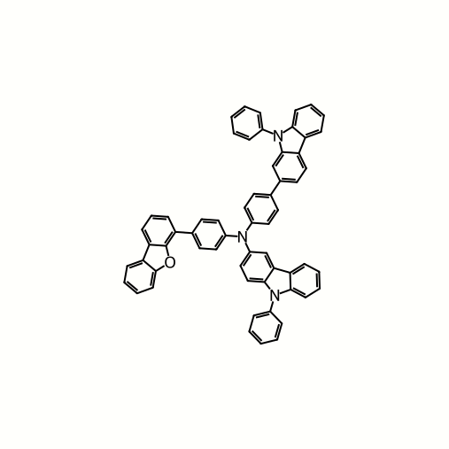 c1ccc(-n2c3ccccc3c3cc(N(c4ccc(-c5ccc6c7ccccc7n(-c7ccccc7)c6c5)cc4)c4ccc(-c5cccc6c5oc5ccccc56)cc4)ccc32)cc1